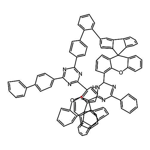 c1ccc(C2=NC(c3cccc4c3Oc3ccccc3C43c4ccccc4-c4cc(-c5ccccc5-c5ccc(-c6nc(-c7ccc(-c8ccccc8)cc7)nc(-c7cccc8c7Oc7ccccc7C87c8ccccc8-c8ccccc87)n6)cc5)ccc43)NC(c3cccc4ccccc34)=N2)cc1